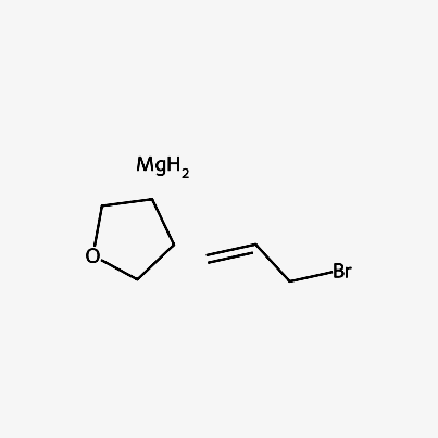 C1CCOC1.C=CCBr.[MgH2]